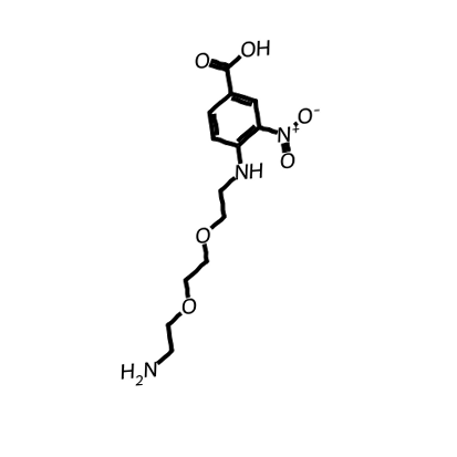 NCCOCCOCCNc1ccc(C(=O)O)cc1[N+](=O)[O-]